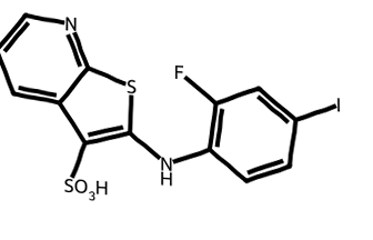 O=S(=O)(O)c1c(Nc2ccc(I)cc2F)sc2ncccc12